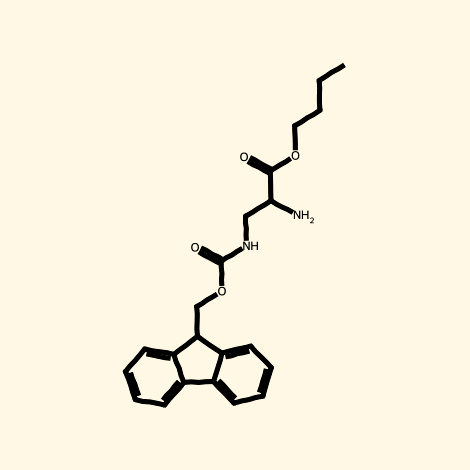 CCCCOC(=O)C(N)CNC(=O)OCC1c2ccccc2-c2ccccc21